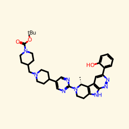 C[C@@H]1c2c([nH]c3nnc(-c4ccccc4O)cc23)CCN1c1ncc(C2CCN(CC3CCN(C(=O)OC(C)(C)C)CC3)CC2)cn1